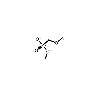 COCP(=O)(O)OC